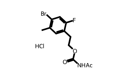 CC(=O)NC(=O)OCCc1cc(C)c(Br)cc1F.Cl